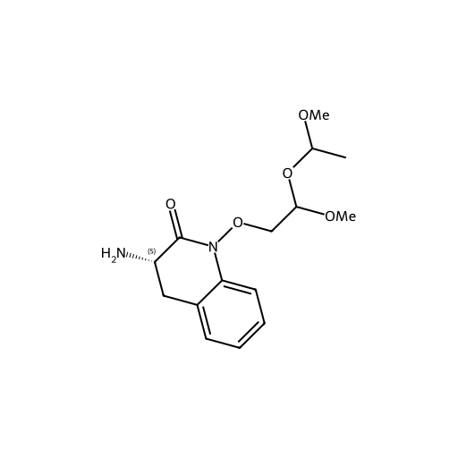 COC(C)OC(CON1C(=O)[C@@H](N)Cc2ccccc21)OC